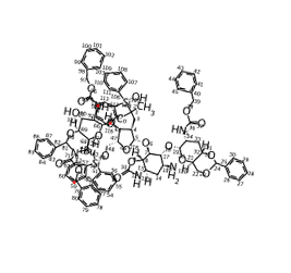 CC(C)(C[C@H]1[C@H](O[C@@H]2[C@H]3OC(=O)N[C@@H]3C[C@H](N)[C@H]2O[C@H]2O[C@@H]3COC(c4ccccc4)O[C@H]3C[C@H]2NC(=O)OCc2ccccc2)O[C@H](CO[Si](c2ccccc2)(c2ccccc2)C(C)(C)C)[C@H]1O[C@H]1O[C@H]2CN(C(=O)OCc3ccccc3)C(c3ccccc3)O[C@H]2[C@H](O)[C@H]1NC(=O)OCc1ccccc1)[Si](O)(c1ccccc1)c1ccccc1